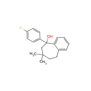 CC1(C)CCc2ccccc2C(O)(c2ccc(F)cc2)C1